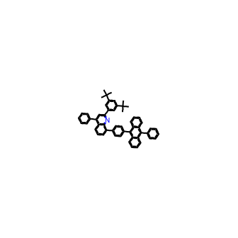 CC(C)(C)c1cc(-c2cc(-c3ccccc3)c3cccc(-c4ccc(-c5c6ccccc6c(-c6ccccc6)c6ccccc56)cc4)c3n2)cc(C(C)(C)C)c1